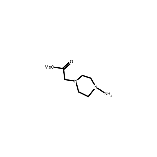 COC(=O)CN1CCN(N)CC1